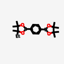 CCC1(C)OB(c2ccc(B3OC(C)(C)C(C)(C)O3)cc2)OC1(C)C